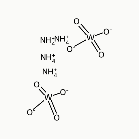 [NH4+].[NH4+].[NH4+].[NH4+].[O]=[W](=[O])([O-])[O-].[O]=[W](=[O])([O-])[O-]